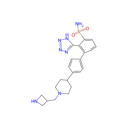 NS(=O)(=O)c1cccc(-c2ccc(C3CCN(CC4CNC4)CC3)cc2)c1-c1nnn[nH]1